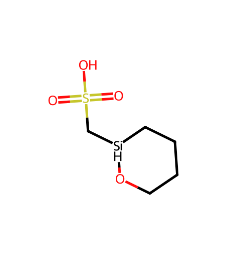 O=S(=O)(O)C[SiH]1CCCCO1